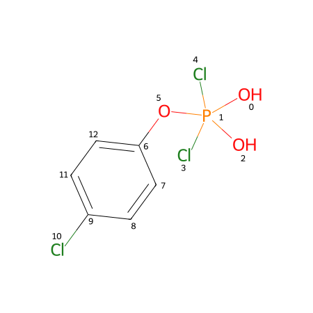 OP(O)(Cl)(Cl)Oc1ccc(Cl)cc1